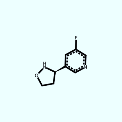 Fc1cncc([C@H]2CCON2)c1